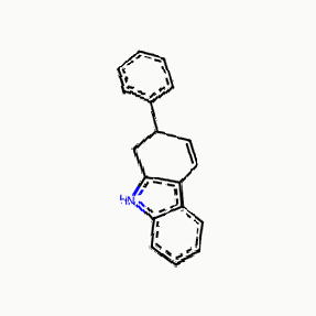 C1=CC(c2ccccc2)Cc2[nH]c3ccccc3c21